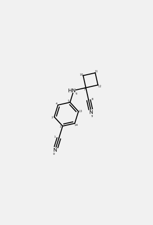 N#Cc1ccc(NC2(C#N)CCC2)cc1